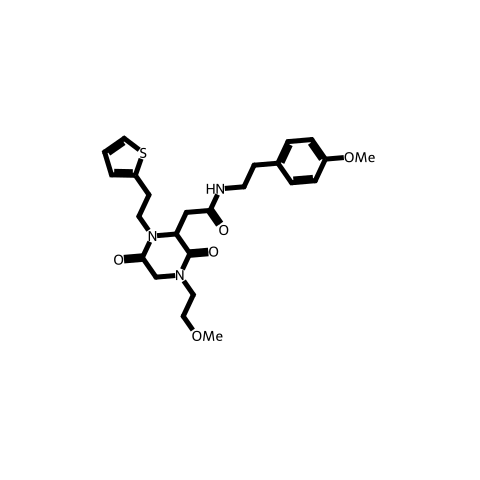 COCCN1CC(=O)N(CCc2cccs2)C(CC(=O)NCCc2ccc(OC)cc2)C1=O